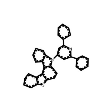 c1ccc(-c2cc(-n3c4ccccc4c4c5c(ccc43)sc3ccccc35)cc(-c3ccccc3)n2)cc1